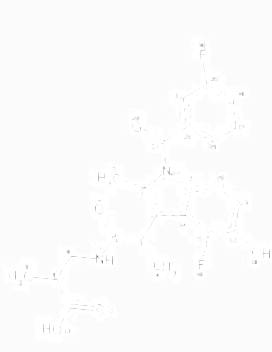 Cc1c([C@H](C)C(=O)NCC(C)C(=O)O)c2c(F)c(O)ccc2n1C(=O)c1cccc(F)c1